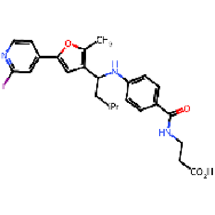 Cc1oc(-c2ccnc(I)c2)cc1C(CC(C)C)Nc1ccc(C(=O)NCCC(=O)O)cc1